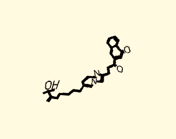 C=C(CCCCCc1ccc2nc(CCC(=O)C3=CC(=O)C4C=CC=CC4=C3)cn2c1)C(C)(C)O